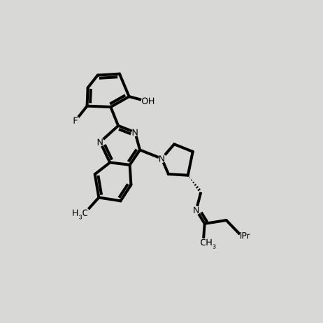 CC(CC(C)C)=NC[C@H]1CCN(c2nc(-c3c(O)cccc3F)nc3cc(C)ccc23)C1